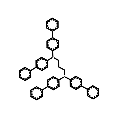 c1ccc(-c2ccc(P(CCCP(c3ccc(-c4ccccc4)cc3)c3ccc(-c4ccccc4)cc3)c3ccc(-c4ccccc4)cc3)cc2)cc1